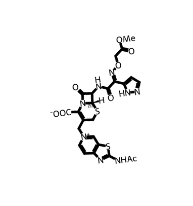 COC(=O)CON=C(C(=O)NC1C(=O)N2C(C(=O)[O-])=C(C[n+]3ccc4nc(NC(C)=O)sc4c3)CS[C@@H]12)c1ccn[nH]1